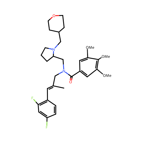 COc1cc(C(=O)N(C/C(C)=C/c2ccc(F)cc2F)CC2CCCN2CC2CCOCC2)cc(OC)c1OC